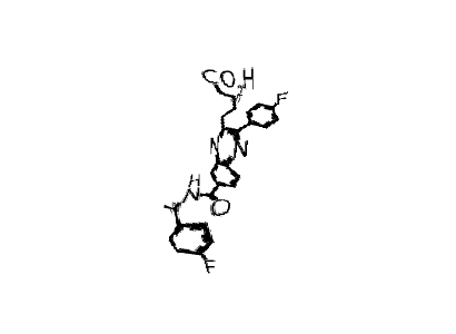 C[C@H](CCc1nc2cc(C(=O)N[C@H](C)c3ccc(F)cc3)ccc2nc1-c1ccc(F)cc1)CC(=O)O